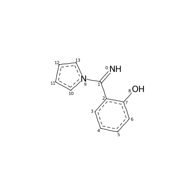 N=C(c1ccccc1O)n1cccc1